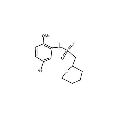 [2H]c1ccc(OC)c(NS(=O)(=O)CC2CCCCC2)c1